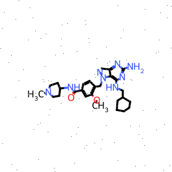 COc1cc(C(=O)NC2CCN(C)CC2)ccc1Cn1ncc2nc(N)nc(NCC3CCCCC3)c21